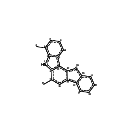 Cc1cccc2c1[nH]c1c(C)cc3c4ccccc4sc3c12